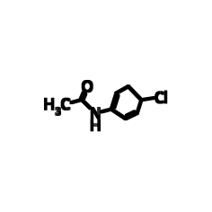 CC(=O)NC1=CCC(Cl)C=C1